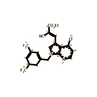 CCOC(=O)/C(C#N)=C/c1cn(CC2=CC(C(F)(F)F)=CC(C(F)(F)F)C2)c2nccc(Cl)c12